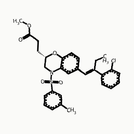 CC/C(=C\c1ccc2c(c1)N(S(=O)(=O)c1cccc(C)c1)C[C@H](CCC(=O)OC)O2)c1ccccc1Cl